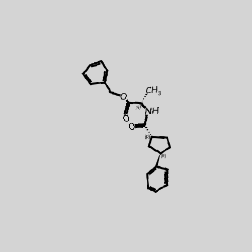 C[C@H](NC(=O)[C@@H]1CC[C@@H](c2ccccc2)C1)C(=O)OCc1ccccc1